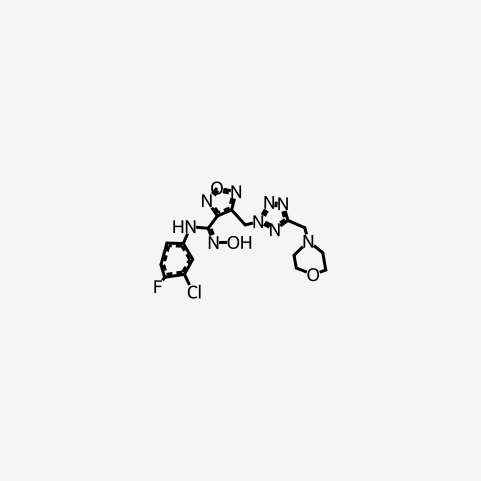 ON=C(Nc1ccc(F)c(Cl)c1)c1nonc1Cn1nnc(CN2CCOCC2)n1